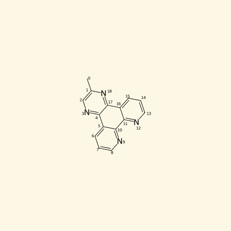 Cc1cnc2c3cccnc3c3ncccc3c2n1